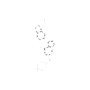 [2H]c1cc(-c2ccc3nnn(CC(F)F)c3c2)c2c(OC)nc(NC3CCC(C)(O)CC3)nn12